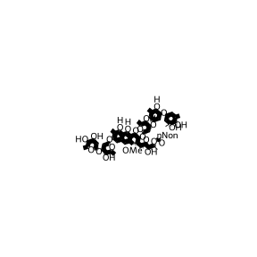 CCCCCCCCCC(=O)O[C@H](C)[C@H](O)C(=O)[C@@H](OC)[C@@H]1Cc2cc3cc(O[C@H]4C[C@@H](O[C@H]5C[C@@H](O)[C@H](O)C(C)O5)[C@H](O)C(C)O4)c(C)c(O)c3c(O)c2C(=O)[C@H]1O[C@H]1C[C@@H](O[C@@H]2CC(C)[C@H](O)[C@H](O[C@@H]3CC(C)[C@@H](O)[C@@](C)(O)C3)C2)[C@H](O)C(C)O1